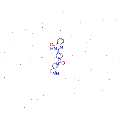 O=C(N1CCN(c2nc3ccccc3c(=O)[nH]2)CC1)N1CCC2(CCNC2)C1